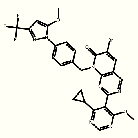 COc1ncnc(C2CC2)c1-c1ncc2cc(Br)c(=O)n(Cc3ccc(-n4nc(C(F)(F)F)cc4OC)cc3)c2n1